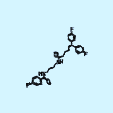 O=C(CCCCC(c1ccc(F)cc1)c1ccc(F)cc1)NC/C=C/CNC(=O)c1ccc(F)cc1